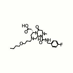 CCCCOCCCN1C[C@H](CC(=O)O)N2C(=O)CN(C)N(C(=O)NCc3ccc(F)cc3)[C@H]2C1